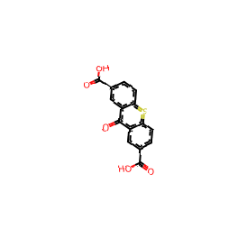 O=C(O)c1ccc2sc3ccc(C(=O)O)cc3c(=O)c2c1